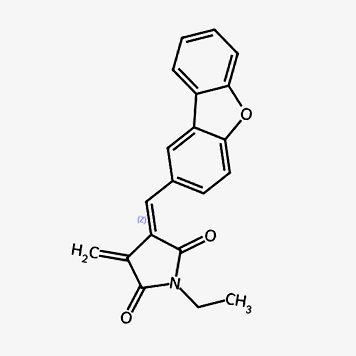 C=C1C(=O)N(CC)C(=O)/C1=C\c1ccc2oc3ccccc3c2c1